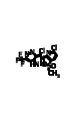 CCS(=O)(=O)c1ccc(Cl)nc1N/C(Cl)=C1/N=NC(C(F)(F)F)=CC1=N